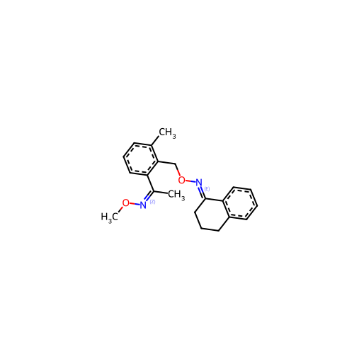 CO/N=C(/C)c1cccc(C)c1CO/N=C1\CCCc2ccccc21